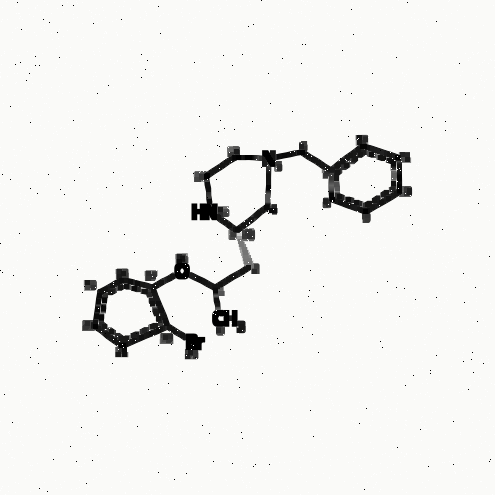 CC(C[C@H]1CN(Cc2ccccc2)CCN1)Oc1ccccc1Br